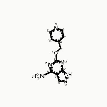 Nc1nc(OCc2ccncc2)nc2[nH]ncc12